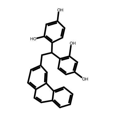 Oc1ccc(C(Cc2ccc3ccc4ccccc4c3c2)c2ccc(O)cc2O)c(O)c1